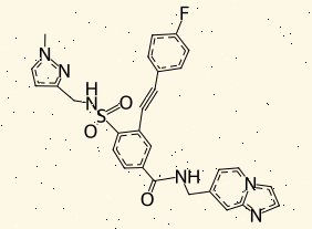 Cn1ccc(CNS(=O)(=O)c2ccc(C(=O)NCc3ccn4ccnc4c3)cc2C#Cc2ccc(F)cc2)n1